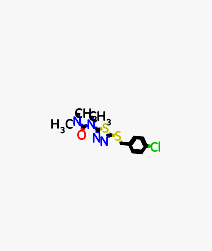 CN(C)C(=O)N(C)c1nnc(SCc2ccc(Cl)cc2)s1